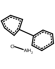 [AlH2][Cl].c1ccc(-c2ccccc2)cc1